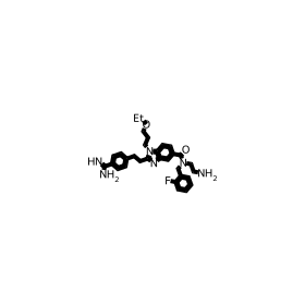 CCOCCCn1c(CCc2ccc(C(=N)N)cc2)nc2cc(C(=O)N(CCN)Cc3ccccc3F)ccc21